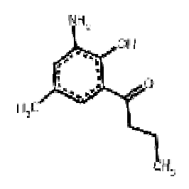 CCCC(=O)c1cc(C)cc(N)c1O